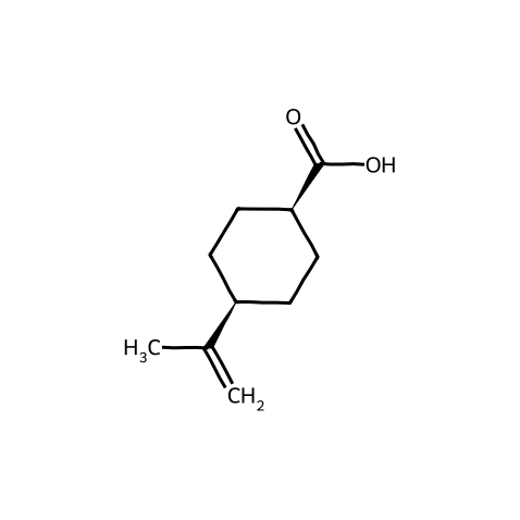 C=C(C)[C@H]1CC[C@@H](C(=O)O)CC1